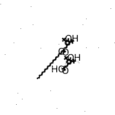 CC(C)(C)c1cc(CCC(=O)O)cc(C(C)(C)C)c1O.CCCCCCCCCCCCCCCCCCOC(=O)CCc1cc(C(C)(C)C)c(O)c(C(C)(C)C)c1